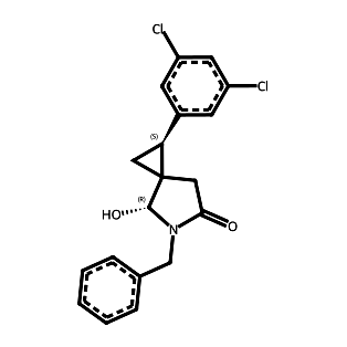 O=C1CC2(C[C@H]2c2cc(Cl)cc(Cl)c2)[C@@H](O)N1Cc1ccccc1